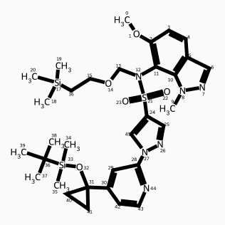 COc1ccc2cnn(C)c2c1N(COCC[Si](C)(C)C)S(=O)(=O)c1cnn(-c2cc(C3(O[Si](C)(C)C(C)(C)C)CC3)ccn2)c1